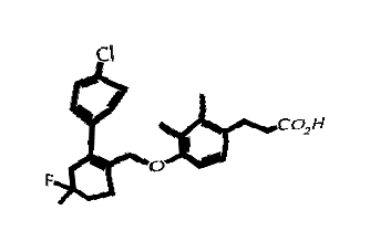 Cc1c(CCC(=O)O)ccc(OCC2=C(c3ccc(Cl)cc3)CC(C)(F)CC2)c1C